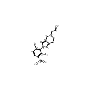 O=CCN1CCc2nn(-c3c(F)ccc([N+](=O)[O-])c3F)cc2C1